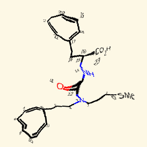 CSCCN(CCc1ccccc1)C(=O)N[C@@H](Cc1ccccc1)C(=O)O